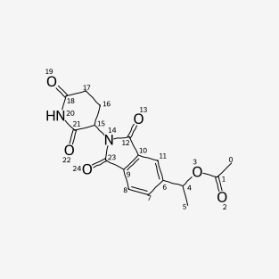 CC(=O)OC(C)c1ccc2c(c1)C(=O)N(C1CCC(=O)NC1=O)C2=O